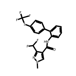 Cn1cc(C(=O)Nc2ccccc2-c2ccc(SC(F)(F)F)cc2)c(C(F)F)n1